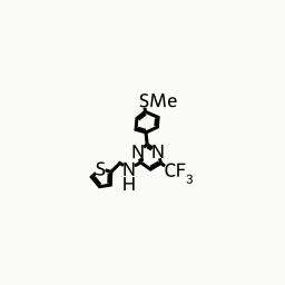 CSc1ccc(-c2nc(NCc3cccs3)cc(C(F)(F)F)n2)cc1